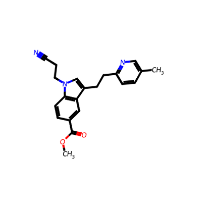 COC(=O)c1ccc2c(c1)c(CCc1ccc(C)cn1)cn2CCC#N